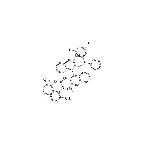 Cc1ccccc1OP(Oc1ccccc1C)Oc1c(C)cc2ccccc2c1-c1c(OP(c2ccccc2)c2cc(F)cc(F)c2)c(C)cc2ccccc12